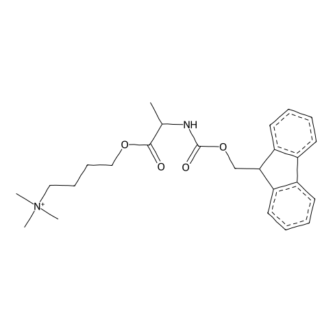 CC(NC(=O)OCC1c2ccccc2-c2ccccc21)C(=O)OCCCC[N+](C)(C)C